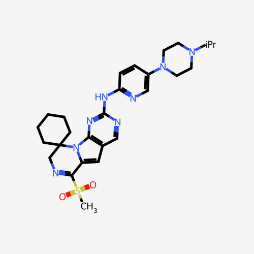 CC(C)N1CCN(c2ccc(Nc3ncc4cc5n(c4n3)C3(CCCCC3)CN=C5S(C)(=O)=O)nc2)CC1